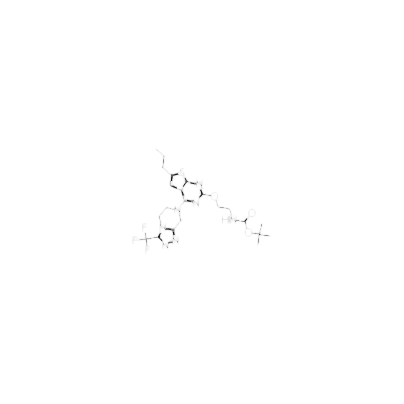 CCCc1cc2c(N3CCn4c(nnc4C(F)(F)F)C3)nc(OCCNC(=O)OC(C)(C)C)nc2s1